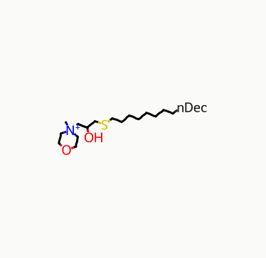 CCCCCCCCCCCCCCCCCCSCC(O)C[N+]1(C)CCOCC1